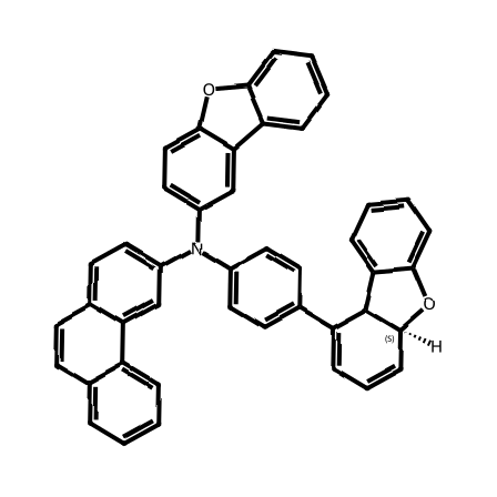 C1=C[C@@H]2Oc3ccccc3C2C(c2ccc(N(c3ccc4ccc5ccccc5c4c3)c3ccc4oc5ccccc5c4c3)cc2)=C1